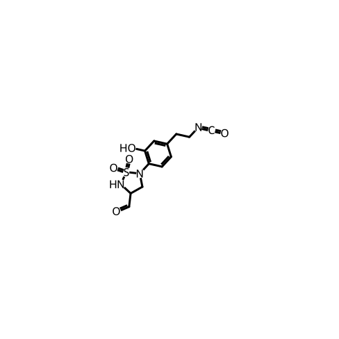 O=C=NCCc1ccc(N2CC(C=O)NS2(=O)=O)c(O)c1